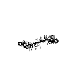 CC1=C(/C=C/C(C)=C/C=C/C(C)=C/C=C/C=C(C)/C=C/C=C(C)/C=C/C2=C(C)C(=O)C(N3CCSCC3)CC2(C)C)C(C)(C)CC(N2CCSCC2)C1=O